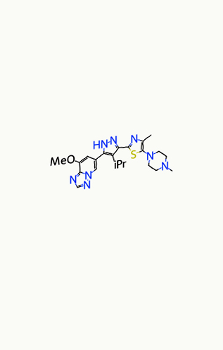 COc1cc(-c2[nH]nc(-c3nc(C)c(N4CCN(C)CC4)s3)c2C(C)C)cn2ncnc12